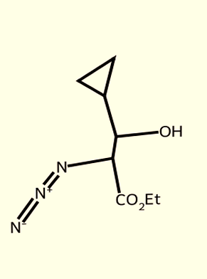 CCOC(=O)C(N=[N+]=[N-])C(O)C1CC1